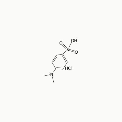 CN(C)c1ccc(S(=O)(=O)O)cc1.Cl